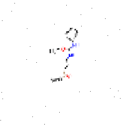 C.COS(=O)CCCNC(=O)Nc1ccccc1